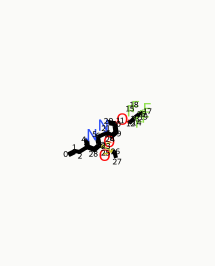 C=CCc1cnc(-c2ccc(OCC(F)(F)C(F)(F)F)cn2)c(S(=O)(=O)CC)c1